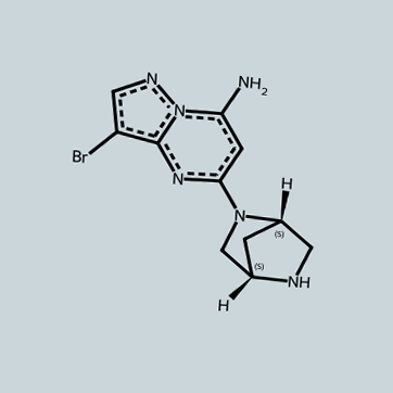 Nc1cc(N2C[C@@H]3C[C@H]2CN3)nc2c(Br)cnn12